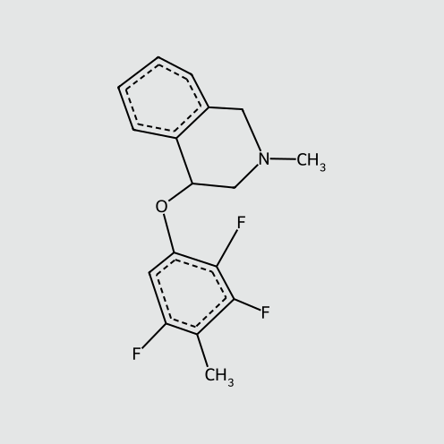 Cc1c(F)cc(OC2CN(C)Cc3ccccc32)c(F)c1F